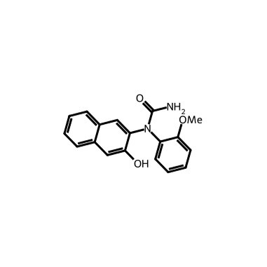 COc1ccccc1N(C(N)=O)c1cc2ccccc2cc1O